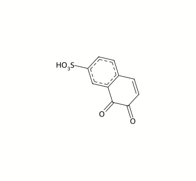 O=C1C=Cc2ccc(S(=O)(=O)O)cc2C1=O